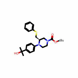 CC(C)(C)OC(=O)N1CCN(c2ccc(C(C)(C)O)cc2)[C@@H](CSc2ccccc2)C1